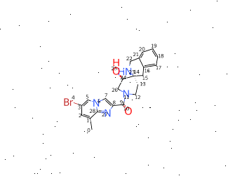 Cc1cc(Br)cn2cc(C(=O)N3CC[C@]4(Cc5ccccc5CN4)[C@H](O)C3)nc12